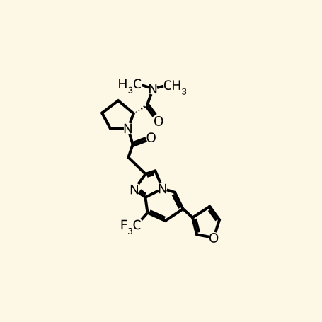 CN(C)C(=O)[C@H]1CCCN1C(=O)Cc1cn2cc(-c3ccoc3)cc(C(F)(F)F)c2n1